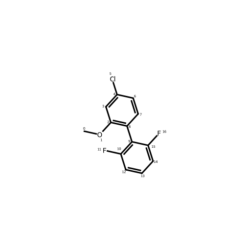 COc1cc(Cl)ccc1-c1c(F)cccc1F